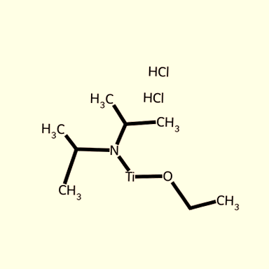 CC[O][Ti][N](C(C)C)C(C)C.Cl.Cl